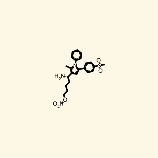 Cc1c([C@@H](N)CCCCO[N+](=O)[O-])cc(-c2ccc(S(C)(=O)=O)cc2)n1-c1ccccc1